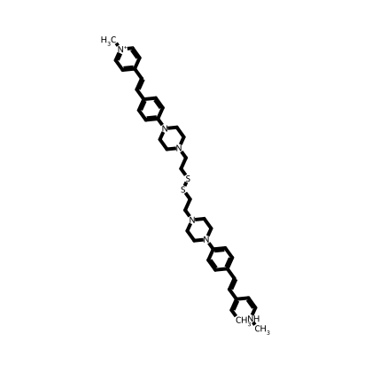 C/C=C(\C=C/NC)/C=C/c1ccc(N2CCN(CCSSCCN3CCN(c4ccc(/C=C/c5cc[n+](C)cc5)cc4)CC3)CC2)cc1